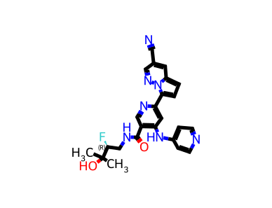 CC(C)(O)[C@H](F)CNC(=O)c1cnc(-c2ccc3cc(C#N)cnn23)cc1Nc1ccncc1